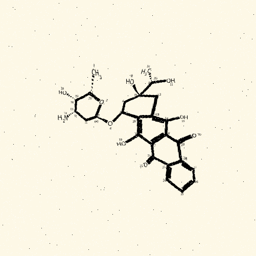 C[C@@H]1O[C@@H](OC2C[C@](O)([C@H](C)O)Cc3c(O)c4c(c(O)c32)C(=O)c2ccccc2C4=O)C[C@H](N)[C@@H]1O